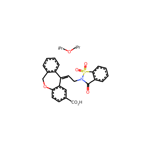 CC(C)OC(C)C.O=C(O)c1ccc2c(c1)C(=CCN1C(=O)c3ccccc3S1(=O)=O)c1ccccc1CO2